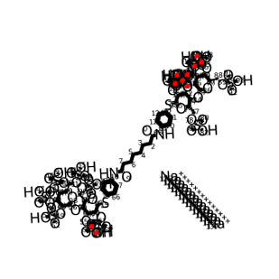 O=C(CCCCCCC(=O)Nc1ccc(S[C@@H]2O[C@H](COS(=O)(=O)O)[C@@H](O[C@H]3O[C@H](COS(=O)(=O)O)[C@@H](OS(=O)(=O)O)[C@H](OS(=O)(=O)O)[C@H]3OS(=O)(=O)O)[C@H](OS(=O)(=O)O)[C@H]2OS(=O)(=O)O)cc1)Nc1ccc(S[C@@H]2O[C@H](COS(=O)(=O)O)[C@@H](O[C@H]3O[C@H](COS(=O)(=O)O)[C@@H](OS(=O)(=O)O)[C@H](OS(=O)(=O)O)[C@H]3OS(=O)(=O)O)[C@H](OS(=O)(=O)O)[C@H]2OS(=O)(=O)O)cc1.[Na+].[Na+].[Na+].[Na+].[Na+].[Na+].[Na+].[Na+].[Na+].[Na+].[Na+].[Na+].[Na+].[Na+]